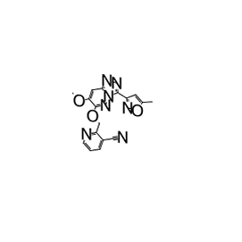 COc1cc2nnc(-c3cc(C)on3)n2nc1OCc1ncccc1C#N